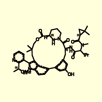 CCn1c(-c2cccnc2[C@H](C)OC)c2c3cc(ccc31)-c1cc(O)cc(c1)C[C@H](NC(=O)C(C(C)C)N(C)C(=O)[C@H]1CC1(C)C)C(=O)N1CCC[C@H](N1)C(=O)OCC(C)(C)C2